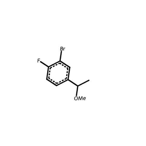 COC(C)c1ccc(F)c(Br)c1